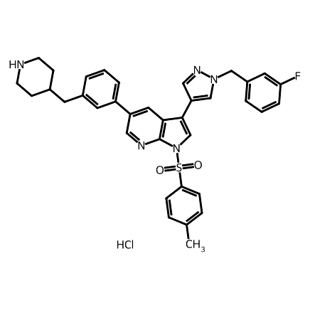 Cc1ccc(S(=O)(=O)n2cc(-c3cnn(Cc4cccc(F)c4)c3)c3cc(-c4cccc(CC5CCNCC5)c4)cnc32)cc1.Cl